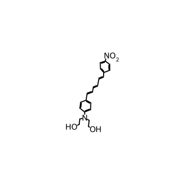 O=[N+]([O-])c1ccc(C=CC=CC=Cc2ccc(N(CCO)CCO)cc2)cc1